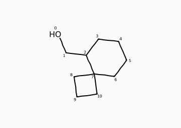 OCC1CCCCC12CCC2